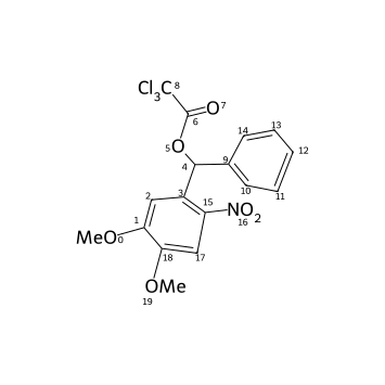 COc1cc(C(OC(=O)C(Cl)(Cl)Cl)c2ccccc2)c([N+](=O)[O-])cc1OC